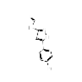 O=[C]Nc1cc(-c2ccc(Br)cc2)[nH]n1